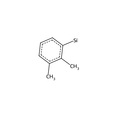 Cc1cccc([Si])c1C